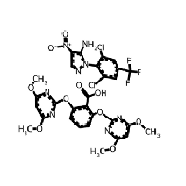 COc1cc(OC)nc(Oc2cccc(Oc3nc(OC)cc(OC)n3)c2C(=O)O)n1.Nc1c([N+](=O)[O-])cnn1-c1c(Cl)cc(C(F)(F)F)cc1Cl